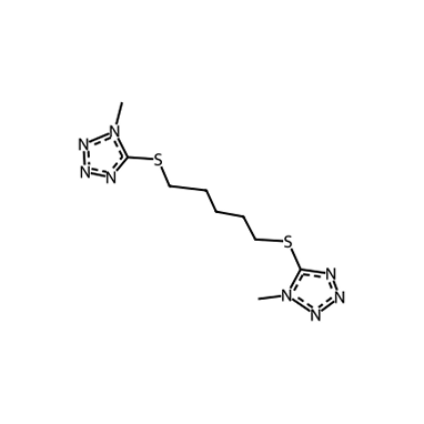 Cn1nnnc1SCCCCCSc1nnnn1C